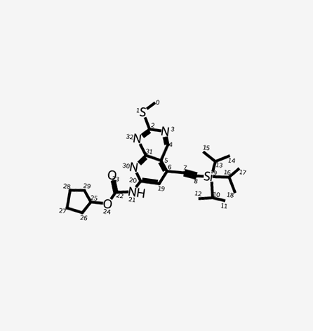 CSc1ncc2c(C#C[Si](C(C)C)(C(C)C)C(C)C)cc(NC(=O)OC3CCCC3)nc2n1